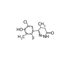 Cc1c(O)c(Cl)cc(C2=NNC(=O)CC2C)c1F